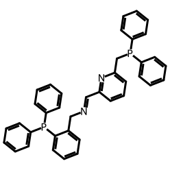 C(=NCc1ccccc1P(c1ccccc1)c1ccccc1)c1cccc(CP(c2ccccc2)c2ccccc2)n1